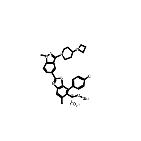 Cc1cc2nc(-c3ccc4c(c3)c(N3CCC(N5CCC5)CC3)nn4C)sc2c(-c2ccc(Cl)cc2)c1[C@H](OC(C)(C)C)C(=O)O